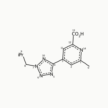 Cc1cc(-c2nnn(CC(C)C)n2)cc(C(=O)O)n1